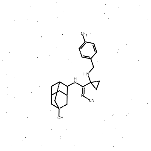 N#CN=C(NC1C2CC3CC1CC(O)(C3)C2)C1(NCc2ccc(C(F)(F)F)cc2)CC1